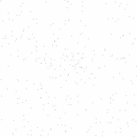 CCCC(NC(=O)[C@@H]1C[C@@H](OC(C)(C)C)CN1C(=O)[C@@H](NC(=O)Cc1cccc(CC(=O)O)c1)C1CCCCC1)C(=O)C(=O)NCC(=O)N[C@H](C(N)=O)c1ccccc1